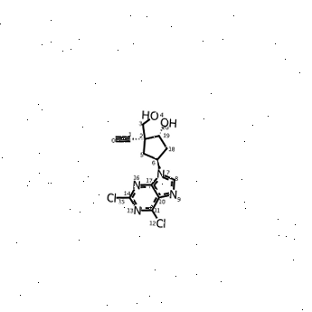 C#C[C@@]1(CO)C[C@H](n2cnc3c(Cl)nc(Cl)nc32)C[C@H]1O